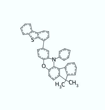 CC1(C)c2ccccc2-c2c1ccc1c2N(c2ccccc2)c2cc(-c3cccc4c3sc3ccccc34)ccc2O1